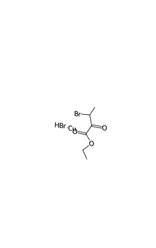 Br.CCOC(=O)C(=O)C(C)Br.[Cu]